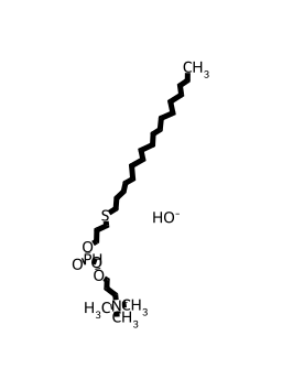 CCCCCCCCCCCCCCCCCCSCCCO[PH](=O)OOCCC[N+](C)(C)C.[OH-]